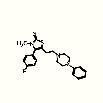 Cn1c(-c2ccc(F)cc2)c(CCN2CCN(c3ccccc3)CC2)sc1=S